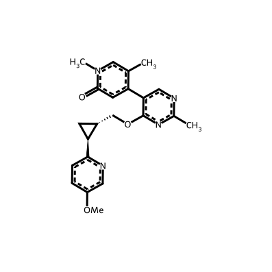 COc1ccc([C@H]2C[C@@H]2COc2nc(C)ncc2-c2cc(=O)n(C)cc2C)nc1